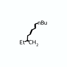 C=C(CC)CC=CC=CCCCC